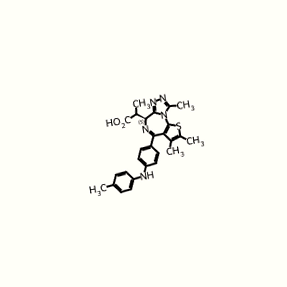 Cc1ccc(Nc2ccc(C3=N[C@@H](C(C)C(=O)O)c4nnc(C)n4-c4sc(C)c(C)c43)cc2)cc1